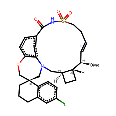 CO[C@@H]1/C=C/CCS(=O)(=O)NC(=O)c2ccc3c(c2)N(C[C@@H]2CC[C@H]21)C[C@@]1(CCCc2cc(Cl)ccc21)CO3